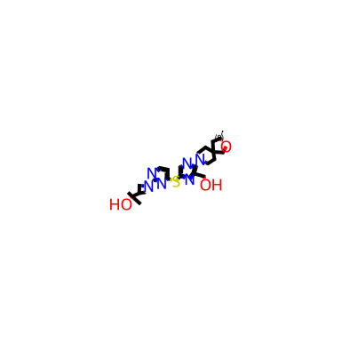 C[C@H]1CC2(CCN(c3ncc(Sc4ccnc(N5CC(C(C)(C)O)C5)n4)nc3CO)CC2)CO1